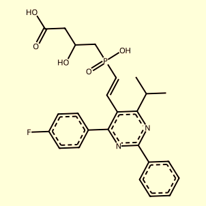 CC(C)c1nc(-c2ccccc2)nc(-c2ccc(F)cc2)c1C=CP(=O)(O)CC(O)CC(=O)O